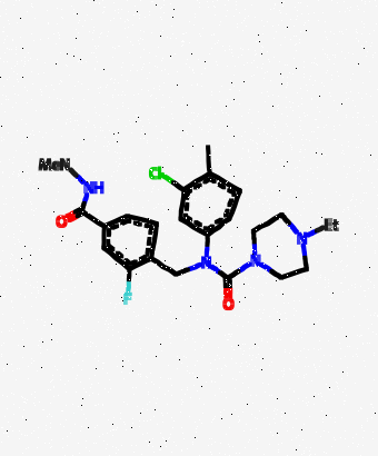 CCN1CCN(C(=O)N(Cc2ccc(C(=O)NNC)cc2F)c2ccc(C)c(Cl)c2)CC1